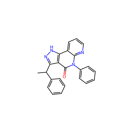 CC(c1ccccc1)c1n[nH]c2c1c(=O)n(-c1ccccc1)c1ncccc21